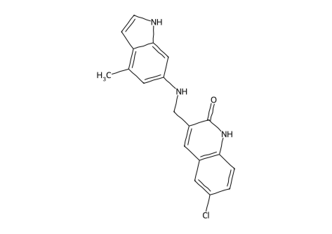 Cc1cc(NCc2cc3cc(Cl)ccc3[nH]c2=O)cc2[nH]ccc12